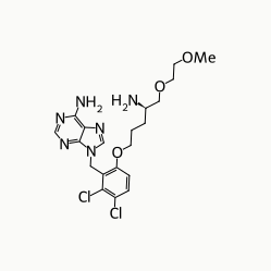 COCCOC[C@H](N)CCCOc1ccc(Cl)c(Cl)c1Cn1cnc2c(N)ncnc21